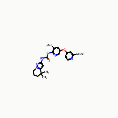 CNc1cc(Oc2ccnc(NC(C)=O)c2)cnc1NC(=S)Nc1cc2n(n1)CCCC2(C)C